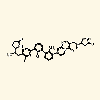 Cc1c(-c2ccn3c(=O)c(CNC4CNC(=O)C4)cnc3c2)cccc1-c1cccc(-c2ccc(CN(C)[C@H]3CCC(=O)N3)c(F)n2)c1Cl